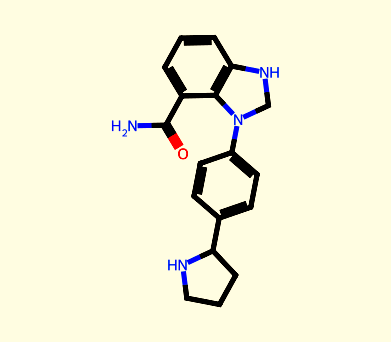 NC(=O)c1cccc2c1N(c1ccc(C3CCCN3)cc1)CN2